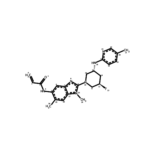 C=CC(=O)Nc1cc2nc(N3C[C@H](F)C[C@@H](Nc4ccc(C)cn4)C3)n(C)c2cc1C